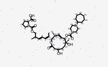 C/C(=C\C=C\C(C)COC(=O)N1CCC[C@H]1C(=O)O)[C@H]1OC(=O)C[C@H](O)CC[C@@](C)(O)[C@@H](OC(=O)N2CCN(C3CCCCCC3)CC2)/C=C/[C@@H]1C